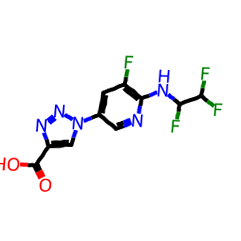 O=C(O)c1cn(-c2cnc(NC(F)C(F)F)c(F)c2)nn1